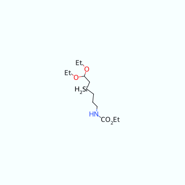 CCOC(=O)NCCC[SiH2]CC(OCC)OCC